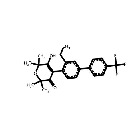 CCc1cc(-c2ccc(C(F)(F)F)cc2)ccc1C1=C(O)C(C)(C)OC(C)(C)C1=O